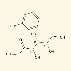 O=C(CO)[C@@H](O)[C@H](O)[C@@H](O)CO.Oc1ccccc1